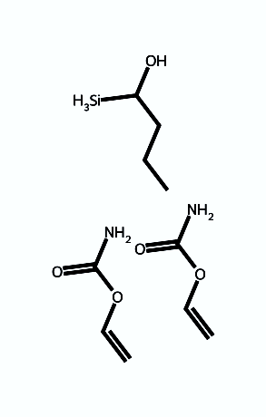 C=COC(N)=O.C=COC(N)=O.CCCC(O)[SiH3]